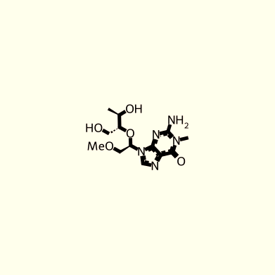 COC[C@@H](O[C@H](CO)[C@@H](C)O)n1cnc2c(=O)n(C)c(N)nc21